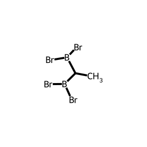 CC(B(Br)Br)B(Br)Br